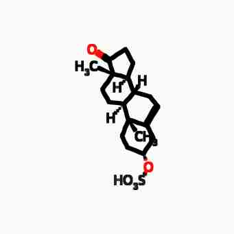 C[C@]12CC[C@@H](OS(=O)(=O)O)CC1=CC[C@@H]1[C@@H]2CC[C@]2(C)C(=O)CC[C@@H]12